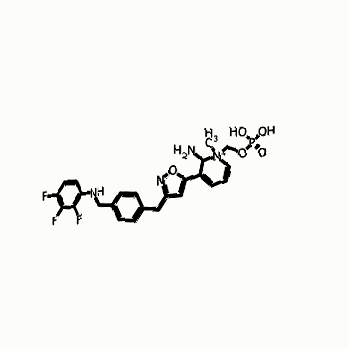 C[N+]1(COP(=O)(O)O)C=CC=C(c2cc(Cc3ccc(CNc4ccc(F)c(F)c4F)cc3)no2)C1N